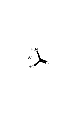 NC(=O)O.[W]